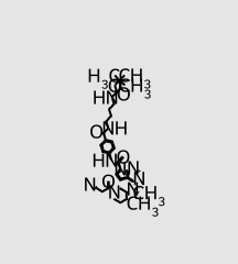 C[C@@H]1CCN(C(=O)CC#N)C[C@@H]1N(C)c1ncnc2c1ccn2C(=O)Nc1ccc(C(=O)NCCCCNC(=O)OC(C)(C)C)cc1